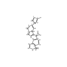 Cc1cnn(-c2cnc3ncc(C4(c5ccc6c(c5)C=CCN6)CC4)n3c2)c1